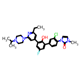 CCc1cc(-c2cc(F)cc(-c3ccc(-n4ccn(C)c4=O)c(Cl)c3)c2O)cc(N2CCN(C(C)C)CC2)n1